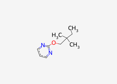 CCC(C)(C)COc1ncccn1